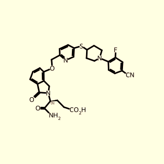 N#Cc1ccc(N2CCC(Sc3ccc(COc4cccc5c4CN([C@@H](CCC(=O)O)C(N)=O)C5=O)nc3)CC2)c(F)c1